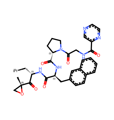 CC(C)C[C@H](NC(=O)[C@H](Cc1ccc2ccccc2c1)NC(=O)[C@@H]1CCCN1C(=O)CNC(=O)c1cnccn1)C(=O)[C@@]1(C)CO1